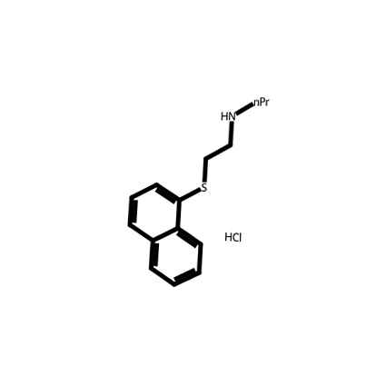 CCCNCCSc1cccc2ccccc12.Cl